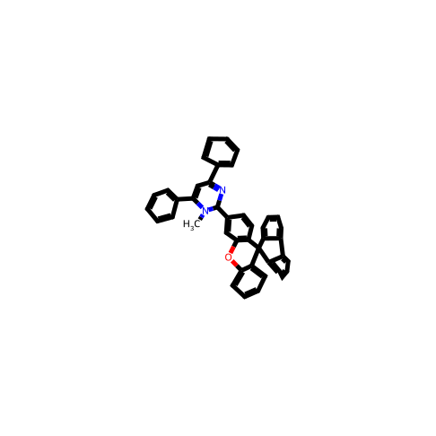 CN1C(c2ccccc2)=CC(c2ccccc2)=NC1c1ccc2c(c1)Oc1ccccc1C21c2ccccc2-c2ccccc21